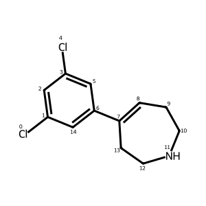 Clc1cc(Cl)cc(C2=CCCNCC2)c1